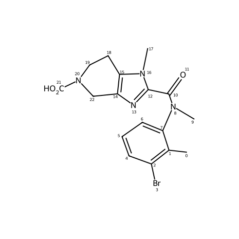 Cc1c(Br)cccc1N(C)C(=O)c1nc2c(n1C)CCN(C(=O)O)C2